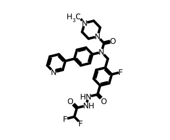 CN1CCN(C(=O)N(Cc2ccc(C(=O)NNC(=O)C(F)F)cc2F)c2ccc(-c3cccnc3)cc2)CC1